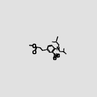 COC(=O)CCc1ccc(N(CC(C)C)CC(C)C)c([N+](=O)[O-])c1